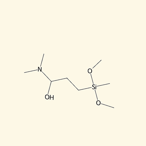 CO[Si](C)(CCC(O)N(C)C)OC